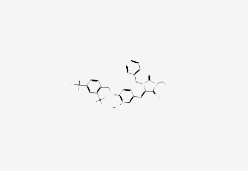 CCN1C(=N)/C(=C/c2ccc(OCc3ccc(C(F)(F)F)cc3C(F)(F)F)c(OC)c2)N(Cc2ccccc2)C1=O